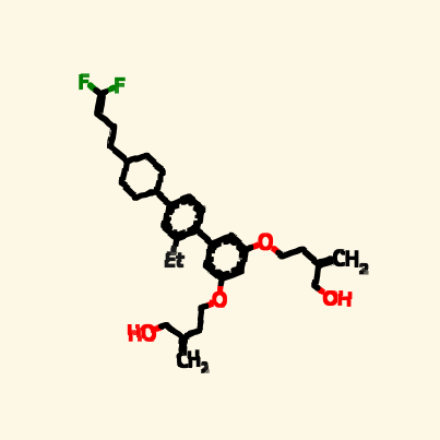 C=C(CO)CCOc1cc(OCCC(=C)CO)cc(-c2ccc(C3CCC(CCC=C(F)F)CC3)cc2CC)c1